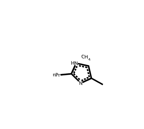 C.CCCc1nc(C)c[nH]1